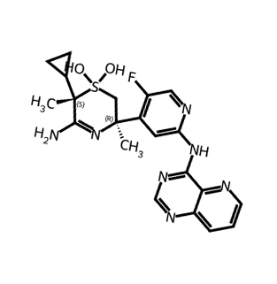 C[C@@]1(c2cc(Nc3ncnc4cccnc34)ncc2F)CS(O)(O)[C@@](C)(C2CC2)C(N)=N1